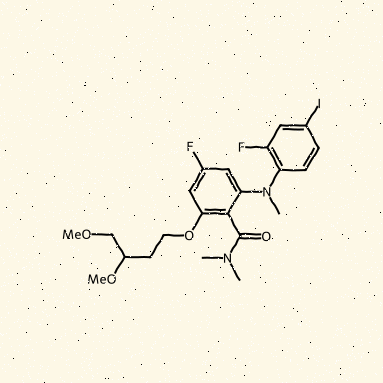 COCC(CCOc1cc(F)cc(N(C)c2ccc(I)cc2F)c1C(=O)N(C)C)OC